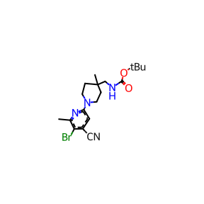 Cc1nc(N2CCC(C)(CNC(=O)OC(C)(C)C)CC2)cc(C#N)c1Br